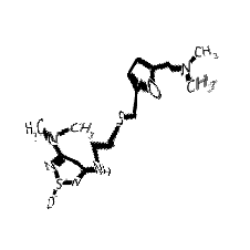 CN(C)Cc1ccc(CSCCNc2n[s+]([O-])nc2N(C)C)o1